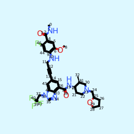 CNC(=O)c1cc(OC)c(NCC#Cc2cc(C(=O)N[C@H]3CCN(CC4CCCO4)C[C@@H]3C)c3ncn(CC(F)(F)F)c3c2)cc1F